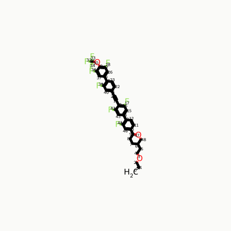 C=CCOCCC1CCC(c2ccc(-c3cc(F)c(C#Cc4ccc(-c5cc(F)c(OC(F)(F)F)c(F)c5)c(F)c4)c(F)c3)c(F)c2)OC1